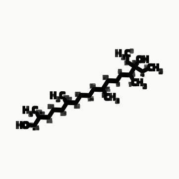 CCC(O)(CC)/C(C)=C/C=C/C(C)=C/C=C/C=C(C)/C=C/C=C(\C)CO